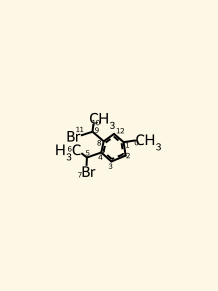 Cc1ccc(C(C)Br)c(C(C)Br)c1